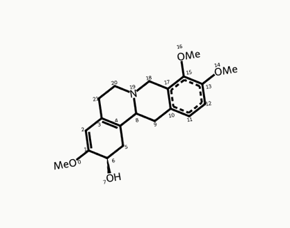 COC1=CC2=C(C[C@H]1O)C1Cc3ccc(OC)c(OC)c3CN1CC2